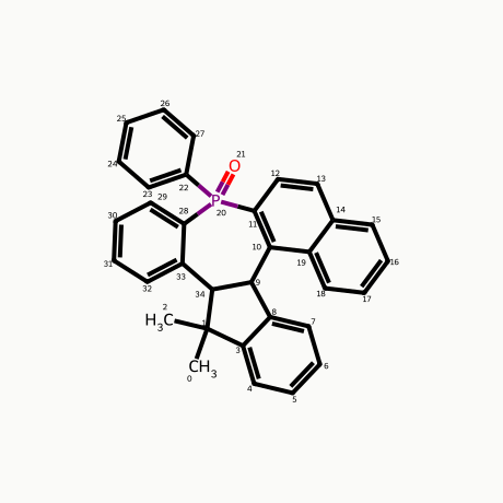 CC1(C)c2ccccc2C2c3c(ccc4ccccc34)P(=O)(c3ccccc3)c3ccccc3C21